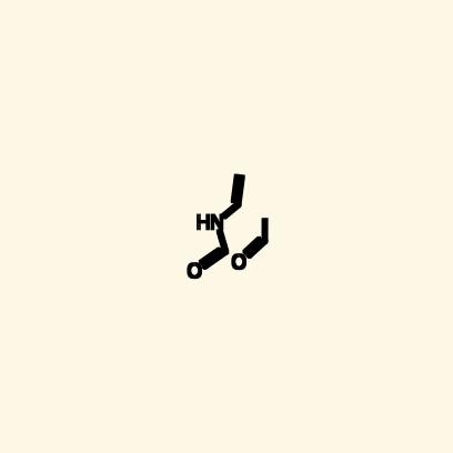 C=CNC=O.CC=O